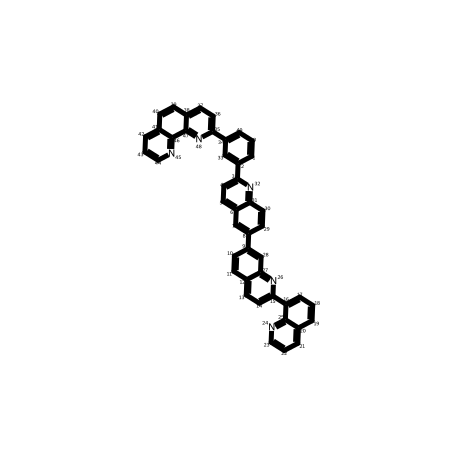 c1cc(-c2ccc3cc(-c4ccc5ccc(-c6cccc7cccnc67)nc5c4)ccc3n2)cc(-c2ccc3ccc4cccnc4c3n2)c1